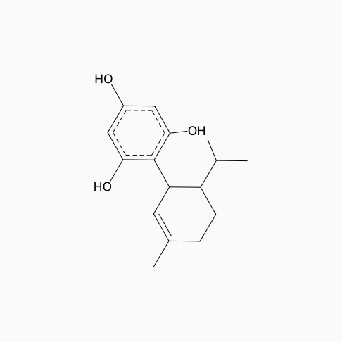 CC1=CC(c2c(O)cc(O)cc2O)C(C(C)C)CC1